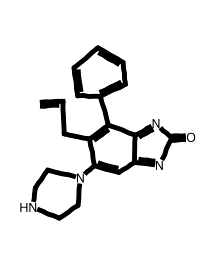 C=CCc1c(N2CCNCC2)cc2c(c1-c1ccccc1)=NC(=O)N=2